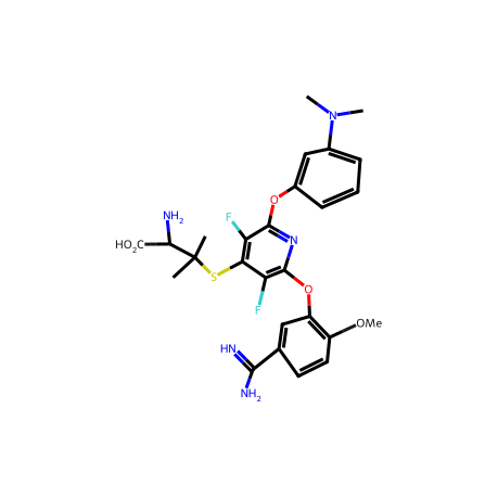 COc1ccc(C(=N)N)cc1Oc1nc(Oc2cccc(N(C)C)c2)c(F)c(SC(C)(C)C(N)C(=O)O)c1F